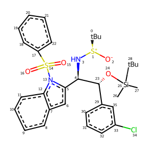 CC(C)(C)[S@@+]([O-])N[C@H](c1cc2ccccc2n1S(=O)(=O)c1ccccc1)[C@H](O[Si](C)(C)C(C)(C)C)c1cccc(Cl)c1